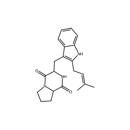 CC(C)=CCc1[nH]c2ccccc2c1CC1NC(=O)C2CCCN2C1=O